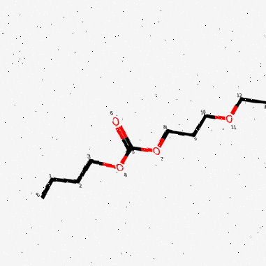 CCCCOC(=O)OCCCOCC